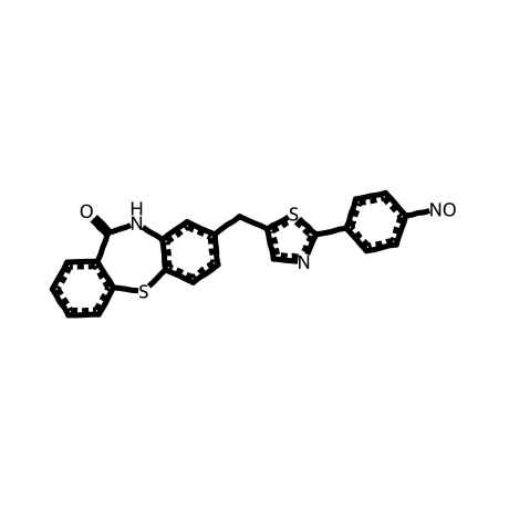 O=Nc1ccc(-c2ncc(Cc3ccc4c(c3)NC(=O)c3ccccc3S4)s2)cc1